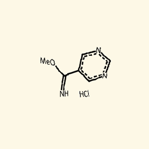 COC(=N)c1cncnc1.Cl